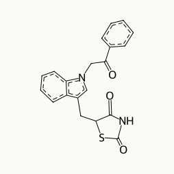 O=C1NC(=O)C(Cc2cn(CC(=O)c3ccccc3)c3ccccc23)S1